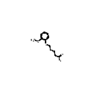 COc1ccccc1SCCCCC(=O)O